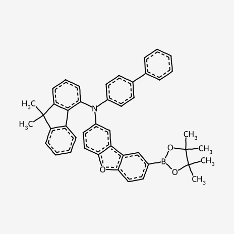 CC1(C)c2ccccc2-c2c(N(c3ccc(-c4ccccc4)cc3)c3ccc4oc5ccc(B6OC(C)(C)C(C)(C)O6)cc5c4c3)cccc21